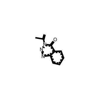 C=C(C)n1nnc2ccccc2c1=O